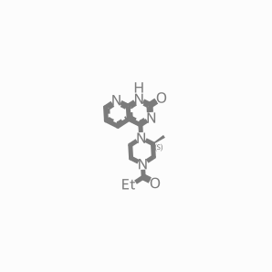 CCC(=O)N1CCN(c2nc(=O)[nH]c3ncccc23)[C@@H](C)C1